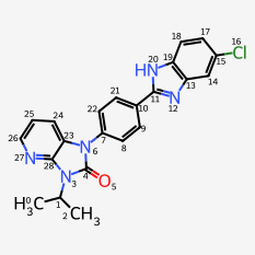 CC(C)n1c(=O)n(-c2ccc(-c3nc4cc(Cl)ccc4[nH]3)cc2)c2cccnc21